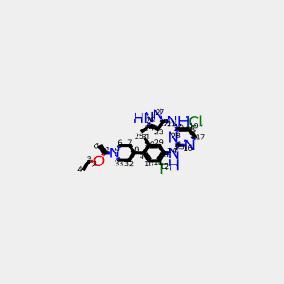 C=C(OCC)N1CCC(c2cc(F)c(Nc3ncc(Cl)c(Nc4cc(C)[nH]n4)n3)cc2C)CC1